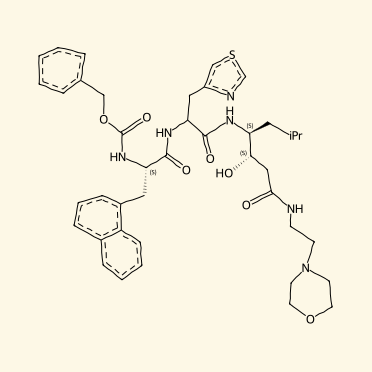 CC(C)C[C@H](NC(=O)C(Cc1cscn1)NC(=O)[C@H](Cc1cccc2ccccc12)NC(=O)OCc1ccccc1)[C@@H](O)CC(=O)NCCN1CCOCC1